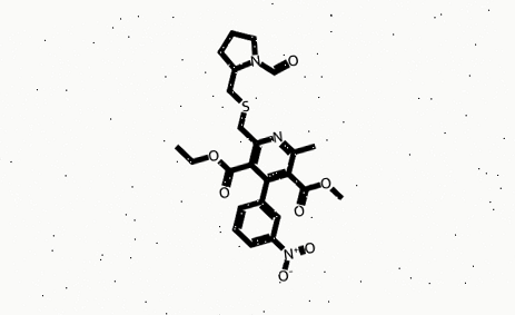 CCOC(=O)c1c(CSCC2CCCN2C=O)nc(C)c(C(=O)OC)c1-c1cccc([N+](=O)[O-])c1